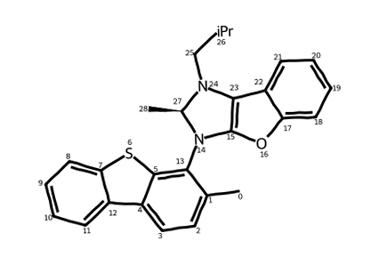 Cc1ccc2c(sc3ccccc32)c1N1c2oc3ccccc3c2N(CC(C)C)[C@@H]1C